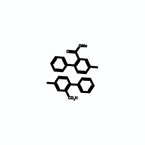 COC(=O)c1cc(C)ccc1-c1ccccc1.Cc1ccc(-c2ccccc2)c(C(=O)O)c1